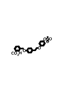 CS(=O)(=O)Oc1ccc(OCCc2ccc(OCc3ccccc3C(=O)O)cc2)cc1